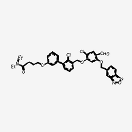 CCN(CC)C(=O)CCCOc1cccc(-c2cccc(COc3cc(OCc4ccc5nonc5c4)c(C=O)cc3Cl)c2Cl)c1